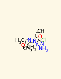 C#CCC1CN(Cc2ncc(C)c(OC)c2C)c2nc(N)nc(Cl)c2C1=O